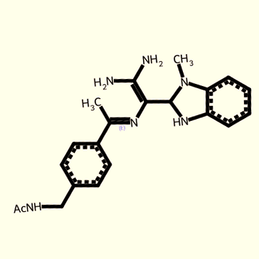 CC(=O)NCc1ccc(/C(C)=N/C(=C(N)N)C2Nc3ccccc3N2C)cc1